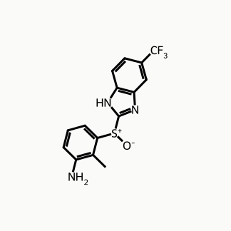 Cc1c(N)cccc1[S+]([O-])c1nc2cc(C(F)(F)F)ccc2[nH]1